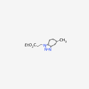 CCOC(=O)CCn1nnc2cc(C)ccc21